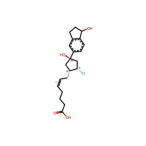 O=C(O)CCC/C=C\C[C@@H]1C[C@](O)(c2ccc3c(c2)CCC3O)C[C@@H]1Cl